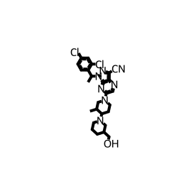 CC1CN(c2cnc3c(C#N)nn(C(C)c4ccc(Cl)cc4Cl)c3n2)CCC1N1CCCC(CO)C1